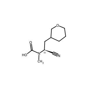 CN(C(=O)O)[C@H](C#N)CC1CCCOC1